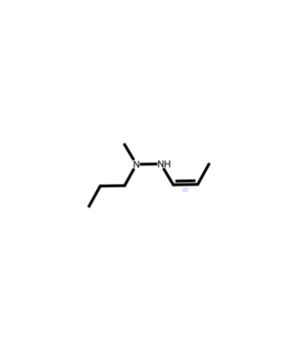 C/C=C\NN(C)CCC